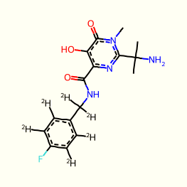 [2H]c1c([2H])c(C([2H])([2H])NC(=O)c2nc(C(C)(C)N)n(C)c(=O)c2O)c([2H])c([2H])c1F